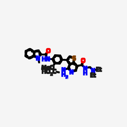 CC(=O)O.CCN(CC)CNC(=O)c1cnc(N)c2c(-c3ccc(NC(=O)c4cc5ccccc5n4C)c(OC)c3)csc12